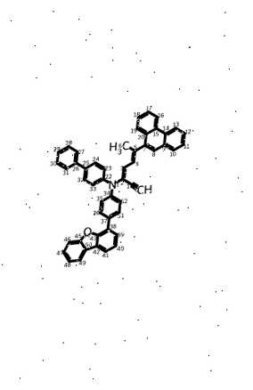 C#C/C(=C\C=C(/C)c1cc2ccccc2c2ccccc12)N(c1ccc(-c2ccccc2)cc1)c1ccc(-c2cccc3c2oc2ccccc23)cc1